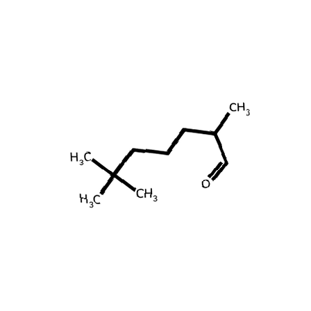 CC(C=O)CCCC(C)(C)C